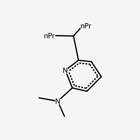 CCCC(CCC)c1cccc(N(C)C)n1